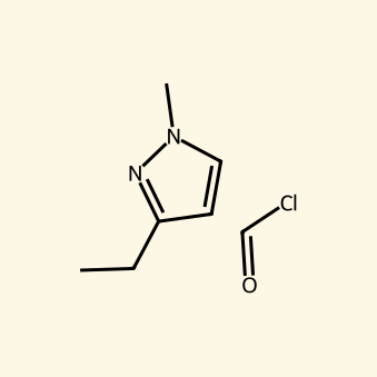 CCc1ccn(C)n1.O=CCl